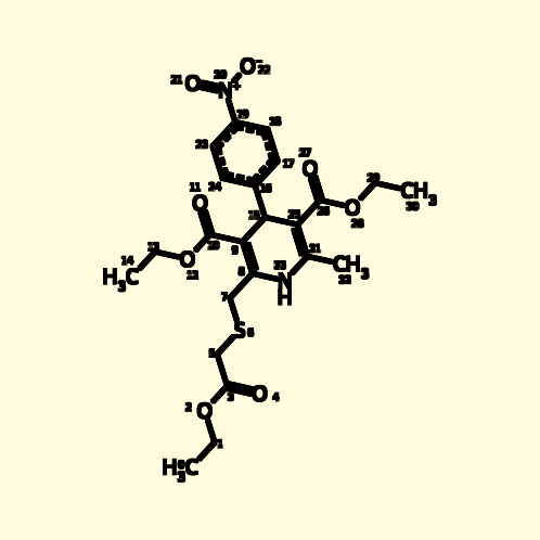 CCOC(=O)CSCC1=C(C(=O)OCC)C(c2ccc([N+](=O)[O-])cc2)C(C(=O)OCC)=C(C)N1